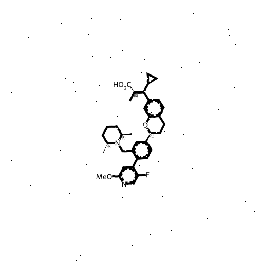 COc1cc(-c2ccc([C@@H]3CCc4ccc(C(C5CC5)[C@H](C)C(=O)O)cc4O3)cc2CN2[C@H](C)CCC[C@H]2C)c(F)cn1